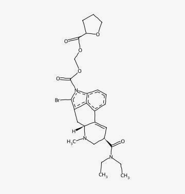 CCN(CC)C(=O)[C@@H]1C=C2c3cccc4c3c(c(Br)n4C(=O)OCOC(=O)C3CCCO3)C[C@H]2N(C)C1